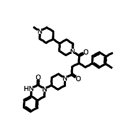 Cc1ccc(CC(CC(=O)N2CCC(N3Cc4ccccc4NC3=O)CC2)C(=O)N2CCC(C3CCN(C)CC3)CC2)cc1C